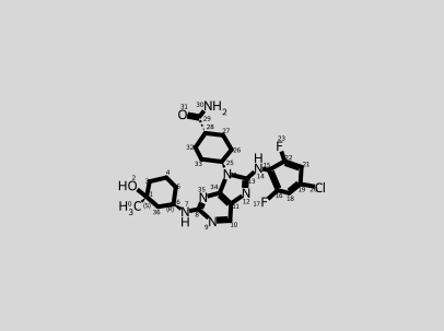 C[C@]1(O)CCC[C@@H](Nc2ncc3nc(Nc4c(F)cc(Cl)cc4F)n([C@H]4CC[C@@H](C(N)=O)CC4)c3n2)C1